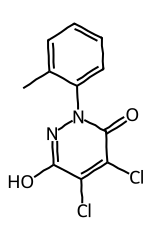 Cc1ccccc1-n1nc(O)c(Cl)c(Cl)c1=O